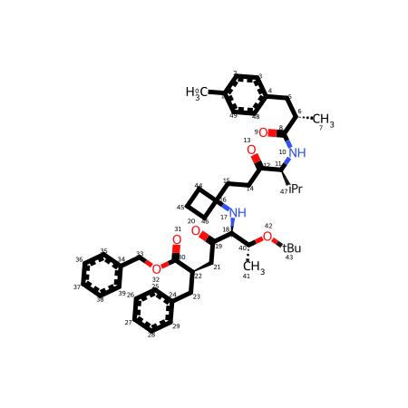 Cc1ccc(C[C@H](C)C(=O)N[C@H](C(=O)CCC2(N[C@H](C(=O)C[C@@H](Cc3ccccc3)C(=O)OCc3ccccc3)[C@@H](C)OC(C)(C)C)CCC2)C(C)C)cc1